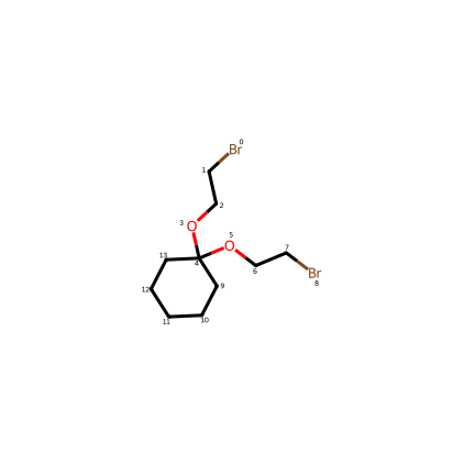 BrCCOC1(OCCBr)CCCCC1